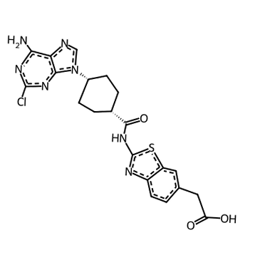 Nc1nc(Cl)nc2c1ncn2[C@H]1CC[C@@H](C(=O)Nc2nc3ccc(CC(=O)O)cc3s2)CC1